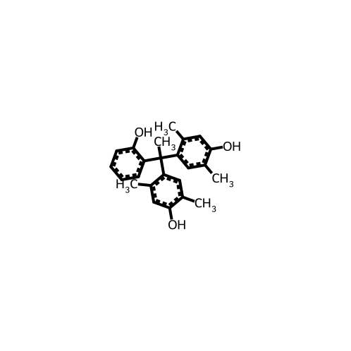 Cc1cc(C(C)(c2cc(C)c(O)cc2C)c2ccccc2O)c(C)cc1O